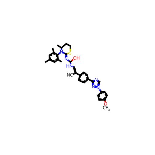 Cc1cc(C)c(N2/C(=N/C(O)N/C=C(\C#N)c3ccc(-c4ncn(-c5ccc(OC(F)(F)F)cc5)n4)cc3)SCCC2C)c(C)c1